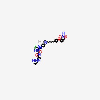 CN(CCCCCCc1ccc(Oc2cccc3c2C(=O)NC(=O)C3)cc1)C[C@H]1CC[C@H](n2cc(NC(=O)c3coc(-c4ccnc(NCC5CC5)c4)n3)c(C(F)F)n2)CC1